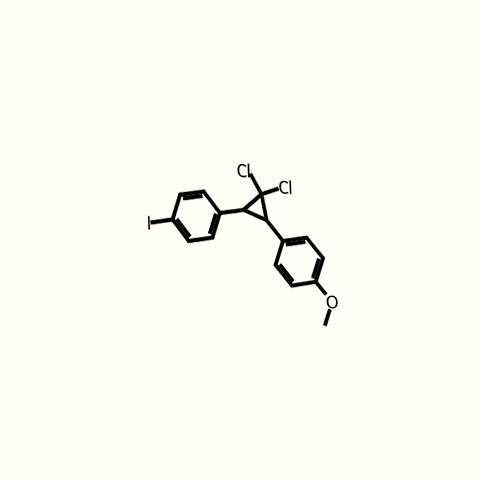 COc1ccc(C2C(c3ccc(I)cc3)C2(Cl)Cl)cc1